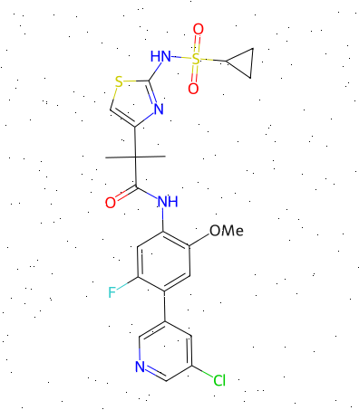 COc1cc(-c2cncc(Cl)c2)c(F)cc1NC(=O)C(C)(C)c1csc(NS(=O)(=O)C2CC2)n1